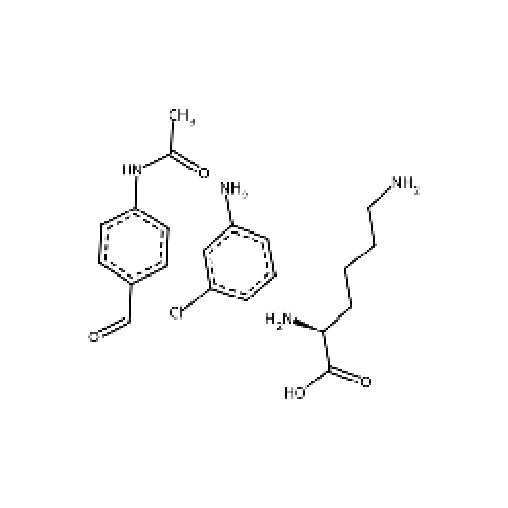 CC(=O)Nc1ccc(C=O)cc1.NCCCC[C@H](N)C(=O)O.Nc1cccc(Cl)c1